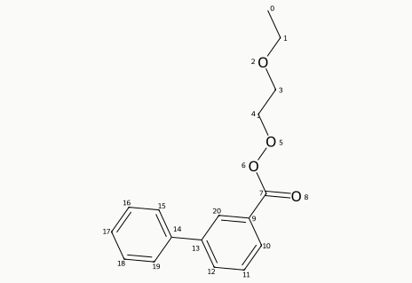 CCOC[CH]OOC(=O)c1cccc(-c2ccccc2)c1